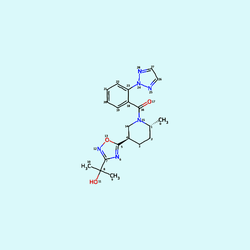 C[C@@H]1CC[C@@H](c2nc(C(C)(C)O)no2)CN1C(=O)c1ccccc1-n1nccn1